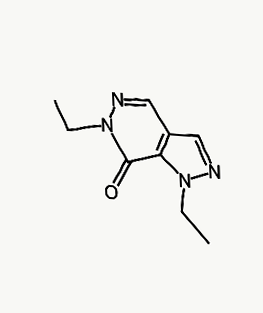 CCn1ncc2cnn(CC)c2c1=O